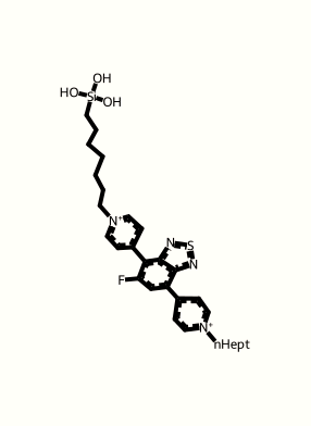 CCCCCCC[n+]1ccc(-c2cc(F)c(-c3cc[n+](CCCCCCC[Si](O)(O)O)cc3)c3nsnc23)cc1